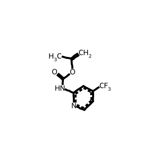 C=C(C)OC(=O)Nc1cc(C(F)(F)F)ccn1